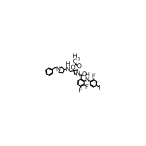 CC(=O)OC1(CNC2CCN(Cc3ccccc3)C2)CN(C(=O)c2ccc(F)c(F)c2Nc2ccc(I)cc2F)C1